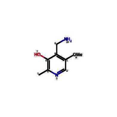 COc1cnc(C)c(O)c1CN